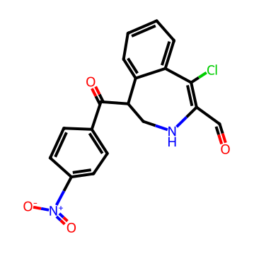 O=CC1=C(Cl)c2ccccc2C(C(=O)c2ccc([N+](=O)[O-])cc2)CN1